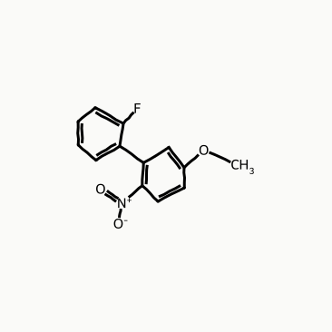 COc1ccc([N+](=O)[O-])c(-c2ccccc2F)c1